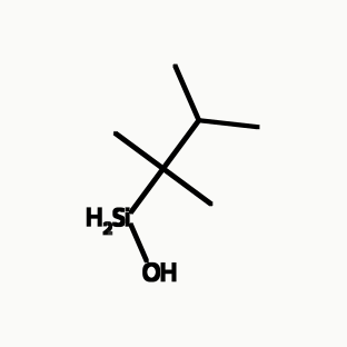 CC(C)C(C)(C)[SiH2]O